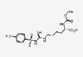 Cc1ccc(S(=O)(=O)NC(=N)NCCCC[C@H](NC(=O)OC(C)(C)C)C(=O)O)cc1